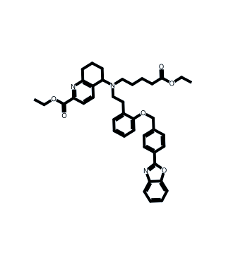 CCOC(=O)CCCCN(CCc1ccccc1OCc1ccc(-c2nc3ccccc3o2)cc1)C1CCCc2nc(C(=O)OCC)ccc21